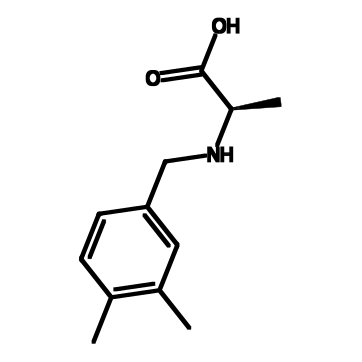 Cc1ccc(CN[C@H](C)C(=O)O)cc1C